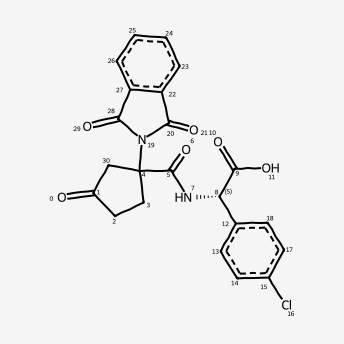 O=C1CCC(C(=O)N[C@H](C(=O)O)c2ccc(Cl)cc2)(N2C(=O)c3ccccc3C2=O)C1